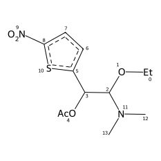 CCOC(C(OC(C)=O)c1ccc([N+](=O)[O-])s1)N(C)C